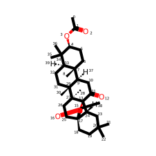 CC(=O)O[C@H]1CC[C@]2(C)[C@H]3CC(=O)[C@]45OC(=O)[C@@]6(CCC(C)(C)C[C@H]64)CC[C@@]5(C)[C@]3(C)CC[C@H]2C1(C)C